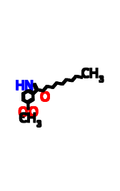 CCCCCCCCCC(=O)c1c[nH]c2ccc(C(=O)OC)cc12